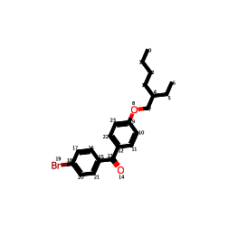 CCCCC(CC)COc1ccc(C(=O)c2ccc(Br)cc2)cc1